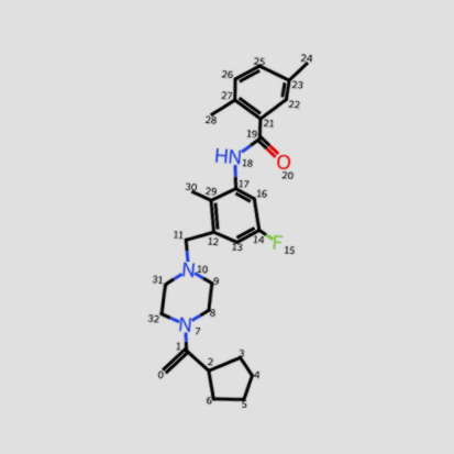 C=C(C1CCCC1)N1CCN(Cc2cc(F)cc(NC(=O)c3cc(C)ccc3C)c2C)CC1